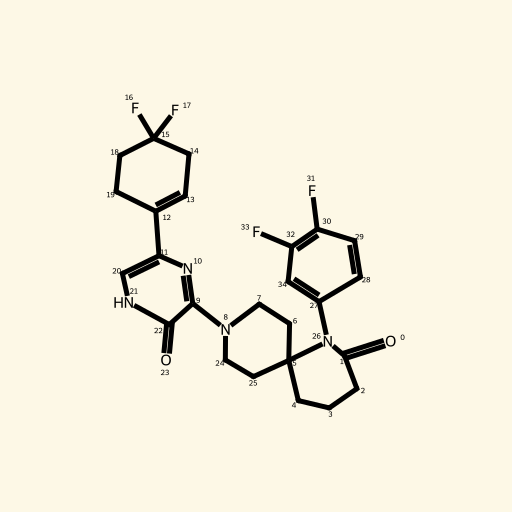 O=C1CCCC2(CCN(c3nc(C4=CCC(F)(F)CC4)c[nH]c3=O)CC2)N1c1ccc(F)c(F)c1